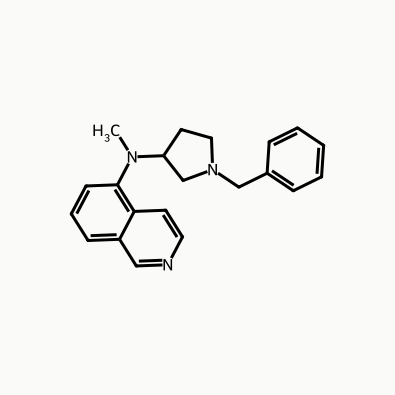 CN(c1cccc2cnccc12)C1CCN(Cc2ccccc2)C1